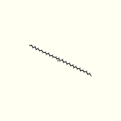 CCCCCCCCCCCCCCCCC[CH2][Pb][CH2]CCCCCCCCCCCCCCCCC